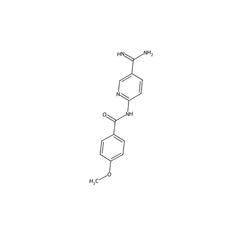 COc1ccc(C(=O)Nc2ccc(C(=N)N)cn2)cc1